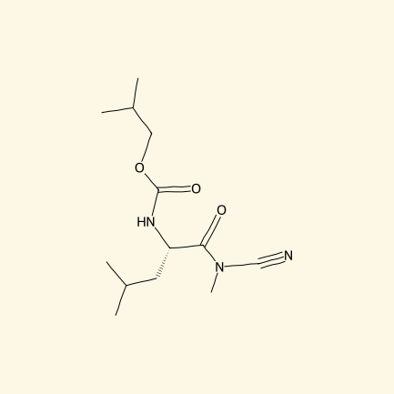 CC(C)COC(=O)N[C@@H](CC(C)C)C(=O)N(C)C#N